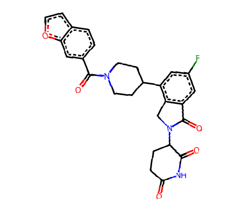 O=C1CCC(N2Cc3c(cc(F)cc3C3CCN(C(=O)c4ccc5ccoc5c4)CC3)C2=O)C(=O)N1